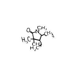 C=CC1C(C)N(C)C(=O)C1(C)C